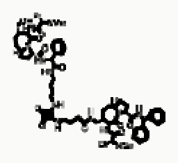 CC[C@H](NC)C(=O)N[C@@H]1C(=O)N2[C@@H](CC[C@@H]1CNC(=O)CCCNc1c(NCCCCNC(=O)[C@@H](NC(=O)[C@@H]3CC[C@@H]4CC[C@H](CO)[C@H](NC(=O)[C@H](CC)NC)C(=O)N43)c3ccccc3)c(=O)c1=O)CC[C@H]2C(=O)NC(c1ccccc1)c1ccccc1